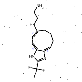 NCCN/C1=C/C=c2/[nH]c(C(F)(F)F)n/c2=C/CCC1